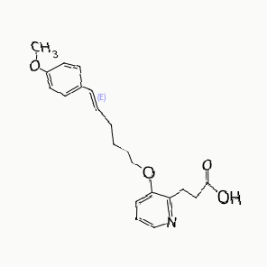 COc1ccc(/C=C/CCCCOc2cccnc2CCC(=O)O)cc1